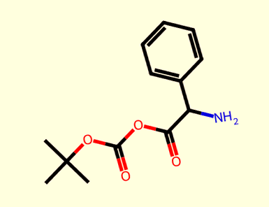 CC(C)(C)OC(=O)OC(=O)C(N)c1ccccc1